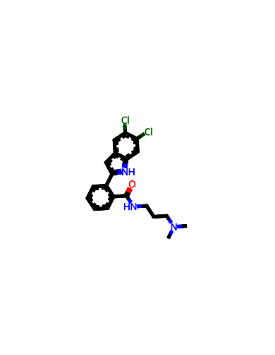 CN(C)CCCNC(=O)c1ccccc1-c1cc2cc(Cl)c(Cl)cc2[nH]1